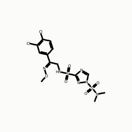 CO/N=C(\CNS(=O)(=O)c1ncn(S(=O)(=O)N(C)C)n1)c1ccc(Cl)c(Cl)c1